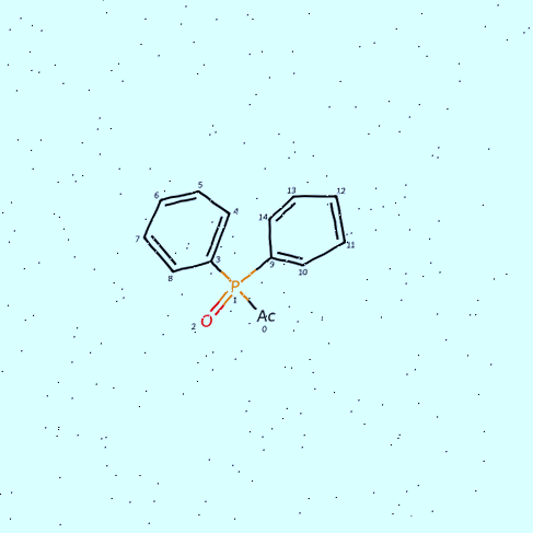 CC(=O)P(=O)(c1ccccc1)c1ccccc1